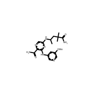 COc1cncc(Nc2nc(NC(C)CC(C)(C)C(N)=O)cnc2C(N)=O)c1